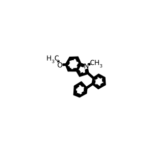 COc1ccc2c(c1)cc(-c1ccccc1-c1ccccc1)n2C